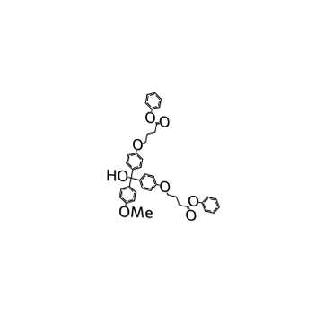 COc1ccc(C(O)(c2ccc(OCCCC(=O)Oc3ccccc3)cc2)c2ccc(OCCCC(=O)Oc3ccccc3)cc2)cc1